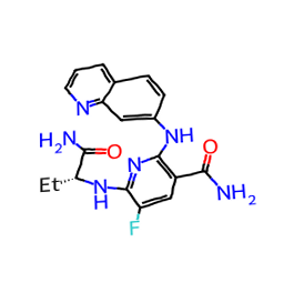 CC[C@@H](Nc1nc(Nc2ccc3cccnc3c2)c(C(N)=O)cc1F)C(N)=O